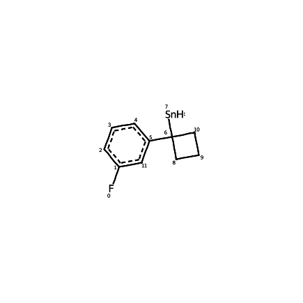 Fc1cccc([C]2([SnH])CCC2)c1